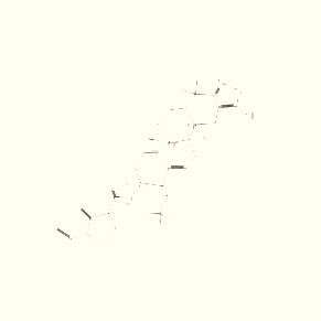 C=CN1CCC(C(=O)[C@@H]2CC(C)(C)CC3C4=CCC5[C@@]6(C)Cc7c(n[nH]c7N)C(C)(C)C6CC[C@@]5(C)[C@]4(C)CC[C@@H]32)C1=O